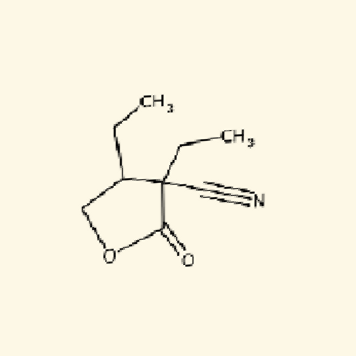 CCC1COC(=O)C1(C#N)CC